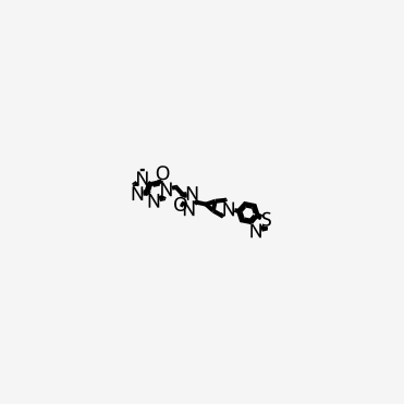 Cn1cnc2ncn(Cc3nc(C4C5CN(c6ccc7scnc7c6)CC54)no3)c(=O)c21